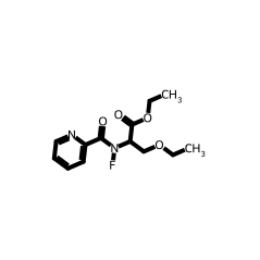 CCOCC(C(=O)OCC)N(F)C(=O)c1ccccn1